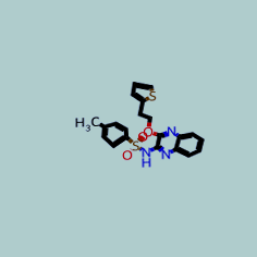 Cc1ccc(S(=O)(=O)Nc2nc3ccccc3nc2OCCc2cccs2)cc1